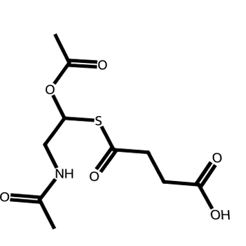 CC(=O)NCC(OC(C)=O)SC(=O)CCC(=O)O